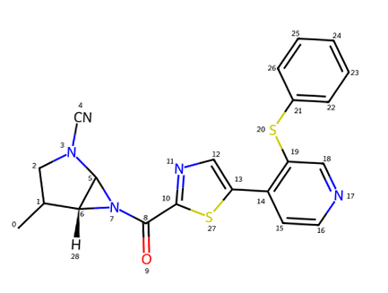 CC1CN(C#N)C2[C@@H]1N2C(=O)c1ncc(-c2ccncc2Sc2ccccc2)s1